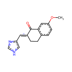 COc1ccc2c(c1)C(=O)/C(=C/c1c[nH]cn1)CC2